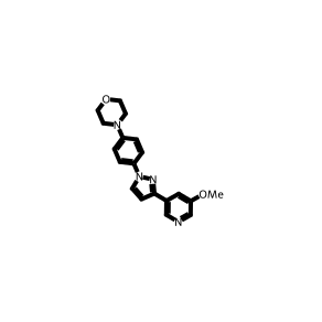 COc1cncc(-c2ccn(-c3ccc(N4CCOCC4)cc3)n2)c1